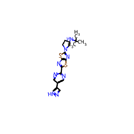 CC(C)(C)NC1CCN(c2nc3sc(-c4ncc(-c5cn[nH]c5)cn4)nc3s2)C1